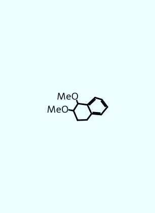 COC1CCc2ccccc2C1OC